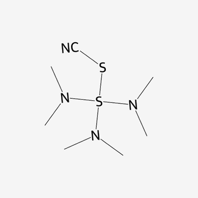 CN(C)S(SC#N)(N(C)C)N(C)C